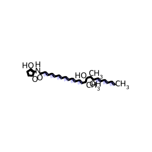 C/C=C/C=C/C=C/C(O)C(C)C(O)C(C)/C=C/C=C/C=C/C=C/C=C/C=C/C(=O)NC1=C(O)CCC1=O